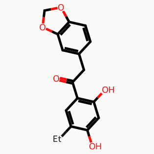 CCc1cc(C(=O)Cc2ccc3c(c2)OCO3)c(O)cc1O